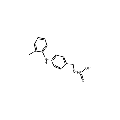 Cc1ccccc1Nc1ccc(CO[PH](=O)O)cc1